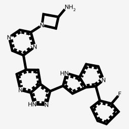 NC1CN(c2cncc(-c3cnc4[nH]nc(-c5cc6c(-c7ccccc7F)nccc6[nH]5)c4c3)n2)C1